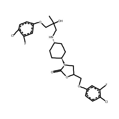 CC(O)(CN[C@H]1CC[C@H](N2CC(COc3ccc(Cl)c(F)c3)OC2=O)CC1)COc1ccc(Cl)c(F)c1